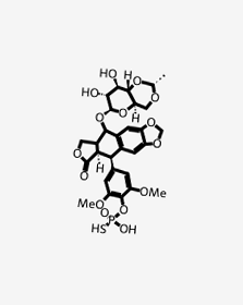 COc1cc([C@@H]2c3cc4c(cc3C(O[C@@H]3O[C@@H]5CO[C@@H](C)O[C@H]5[C@H](O)[C@H]3O)C3COC(=O)[C@@H]32)OCO4)cc(OC)c1OP(=O)(O)S